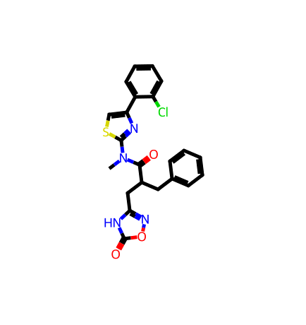 CN(C(=O)C(Cc1ccccc1)Cc1noc(=O)[nH]1)c1nc(-c2ccccc2Cl)cs1